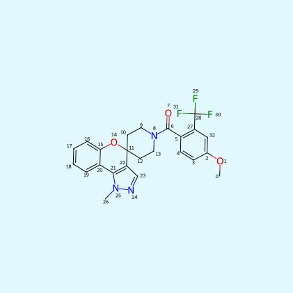 COc1ccc(C(=O)N2CCC3(CC2)Oc2ccccc2-c2c3cnn2C)c(C(F)(F)F)c1